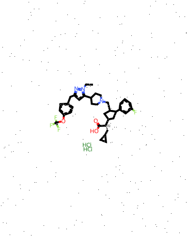 CCn1nc(Cc2ccc(OC(F)(F)F)cc2)cc1C1CCN(CC2CC([C@H](CC3CC3)C(=O)O)CC2c2cccc(F)c2)CC1.Cl.Cl